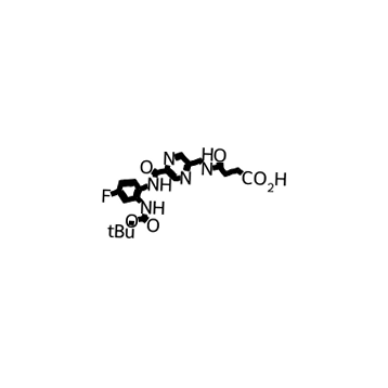 CC(C)(C)OC(=O)Nc1cc(F)ccc1NC(=O)c1cnc(CNC(=O)CCC(=O)O)cn1